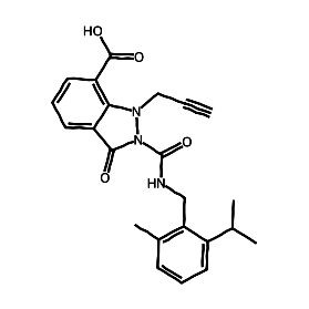 C#CCn1c2c(C(=O)O)cccc2c(=O)n1C(=O)NCc1c(C)cccc1C(C)C